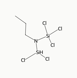 CCCN([SiH](Cl)Cl)[Si](Cl)(Cl)Cl